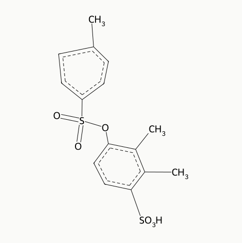 Cc1ccc(S(=O)(=O)Oc2ccc(S(=O)(=O)O)c(C)c2C)cc1